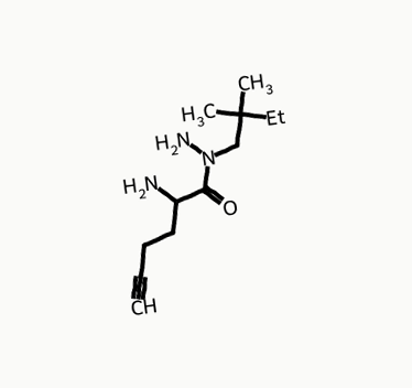 C#CCCC(N)C(=O)N(N)CC(C)(C)CC